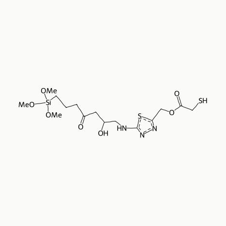 CO[Si](CCCC(=O)CC(O)CNc1nnc(COC(=O)CS)s1)(OC)OC